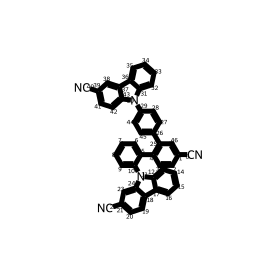 N#Cc1ccc(-c2ccccc2-n2c3ccccc3c3ccc(C#N)cc32)c(-c2ccc(-n3c4ccccc4c4cc(C#N)ccc43)cc2)c1